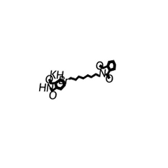 O=C1NC(=O)c2ccccc21.O=C1c2ccccc2C(=O)N1CCCCCCCCBr.[KH]